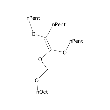 CCCCCCCCOCOC(OCCCCC)=C(CCCCC)OCCCCC